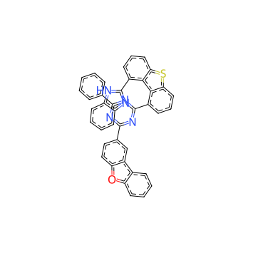 c1ccc(-c2nc(-c3ccc4oc5ccccc5c4c3)nc(-c3cccc4sc5cccc(-c6nc7ccccc7[nH]6)c5c34)n2)cc1